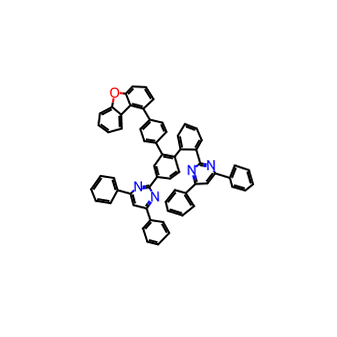 c1ccc(-c2cc(-c3ccccc3)nc(-c3ccc(-c4ccccc4-c4nc(-c5ccccc5)cc(-c5ccccc5)n4)c(-c4ccc(-c5cccc6oc7ccccc7c56)cc4)c3)n2)cc1